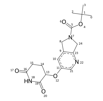 CC(C)(C)OC(=O)N1Cc2cc(OC3CCC(=O)NC3=O)cnc2C1